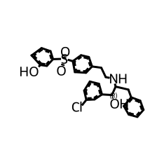 O=S(=O)(c1ccc(CCNC(Cc2ccccc2)[C@H](O)c2cccc(Cl)c2)cc1)c1cccc(O)c1